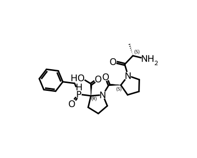 C[C@H](N)C(=O)N1CCC[C@H]1C(=O)N1CCC[C@]1(C(=O)O)[PH](=O)Cc1ccccc1